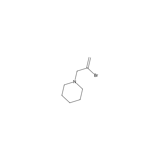 C=C(Br)CN1CCCCC1